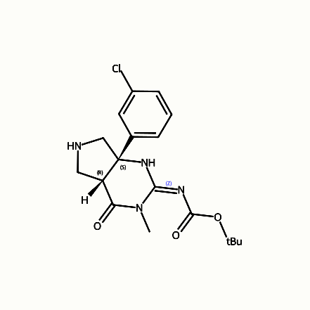 CN1C(=O)[C@@H]2CNC[C@]2(c2cccc(Cl)c2)N/C1=N/C(=O)OC(C)(C)C